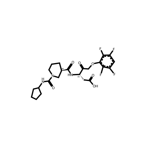 O=C(O)C[C@H](NC(=O)[C@@H]1CCCN(C(=O)NC2CCCC2)C1)C(=O)COc1c(F)c(F)cc(F)c1F